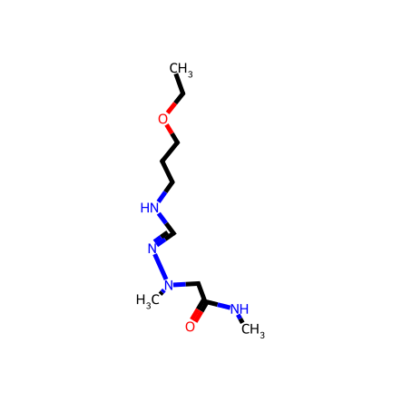 CCOCCCN/C=N/N(C)CC(=O)NC